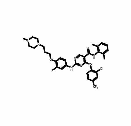 Cc1cccc(C)c1NC(=O)c1cnc(Nc2ccc(OCCCN3CCN(C)CC3)c(F)c2)nc1Oc1ccc(C(F)(F)F)cc1Cl